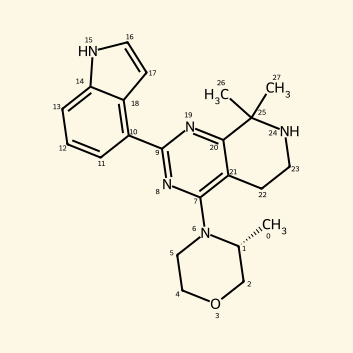 C[C@@H]1COCCN1c1nc(-c2cccc3[nH]ccc23)nc2c1CCNC2(C)C